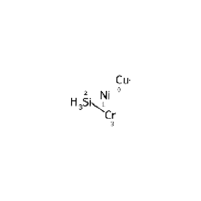 [Cu].[Ni].[SiH3][Cr]